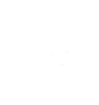 OCC(SOSC(CO)c1ccccc1)c1ccccc1